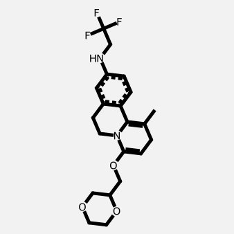 CC1=C2c3ccc(NCC(F)(F)F)cc3CCN2C(OCC2COCCO2)=CC1